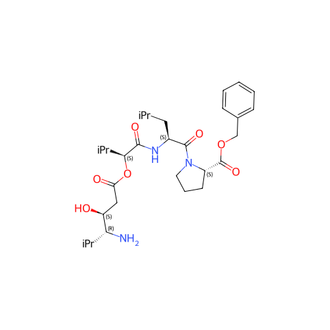 CC(C)C[C@H](NC(=O)[C@@H](OC(=O)C[C@H](O)[C@H](N)C(C)C)C(C)C)C(=O)N1CCC[C@H]1C(=O)OCc1ccccc1